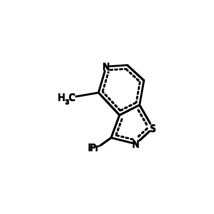 Cc1nccc2snc(C(C)C)c12